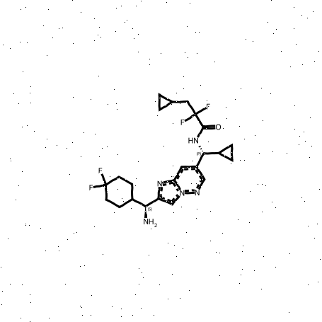 N[C@H](c1cn2ncc([C@H](NC(=O)C(F)(F)CC3CC3)C3CC3)cc2n1)C1CCC(F)(F)CC1